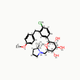 CCOc1ccc(Cc2cc([C@@H]3O[C@H](CN4CCC[C@H]4C(=O)O)[C@@H](O)[C@H](O)[C@H]3O)ccc2Cl)cc1